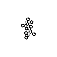 c1ccc(-c2cc(-c3cccc(-c4c(-c5ccccc5)c(-c5ccccc5)nc(-c5ccccc5)c4-c4ccccc4)c3)nc(-c3cccc4c3oc3ccccc34)n2)cc1